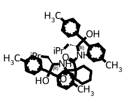 Cc1ccc(C(O)(c2ccc(C)cc2)[C@@H](CC(C)C)NC(=O)C2(C(=O)N[C@H](CC(C)C)C(O)(c3ccc(C)cc3)c3ccc(C)cc3)CCCCC2)cc1